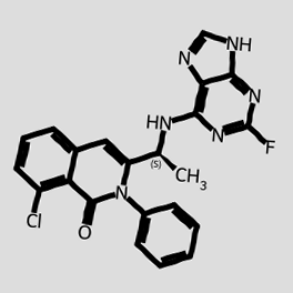 C[C@H](Nc1nc(F)nc2[nH]cnc12)c1cc2cccc(Cl)c2c(=O)n1-c1ccccc1